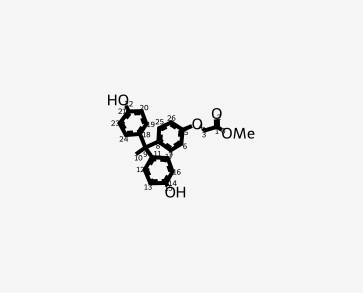 COC(=O)COc1ccc(C(C)(c2ccc(O)cc2)c2ccc(O)cc2)cc1